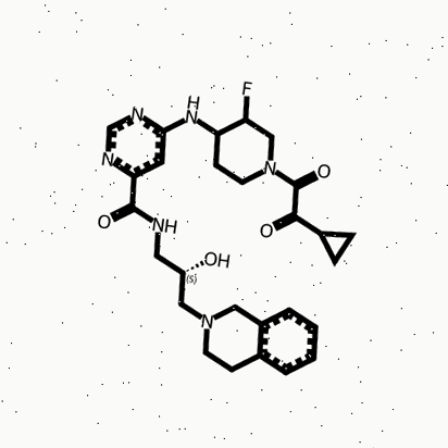 O=C(NC[C@H](O)CN1CCc2ccccc2C1)c1cc(NC2CCN(C(=O)C(=O)C3CC3)CC2F)ncn1